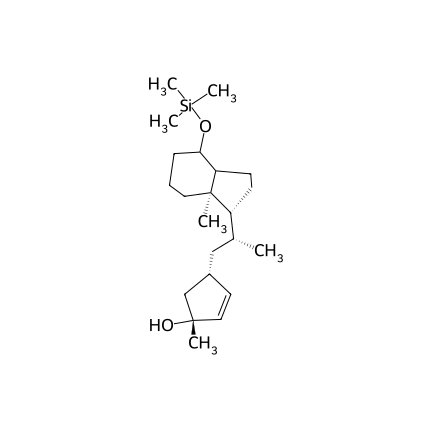 C[C@H](C[C@@H]1C=C[C@](C)(O)C1)[C@H]1CCC2C(O[Si](C)(C)C)CCC[C@@]21C